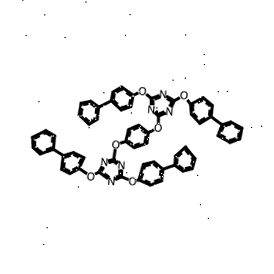 c1ccc(-c2ccc(Oc3nc(Oc4ccc(Oc5nc(Oc6ccc(-c7ccccc7)cc6)nc(Oc6ccc(-c7ccccc7)cc6)n5)cc4)nc(Oc4ccc(-c5ccccc5)cc4)n3)cc2)cc1